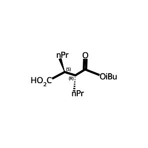 CCC[C@H](C(=O)O)[C@@H](CCC)C(=O)OCC(C)C